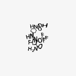 NC(=O)c1cc(F)c(NC2CCC(NC(=O)O)CC2)nc1OCC(F)(F)F